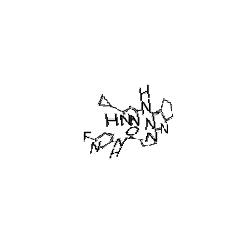 O=C(Nc1ccc(F)nc1)[C@@H]1CCN1c1nc2c(c(Nc3cc(C4CC4)[nH]n3)n1)CCC2